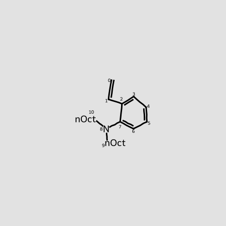 C=Cc1ccccc1N(CCCCCCCC)CCCCCCCC